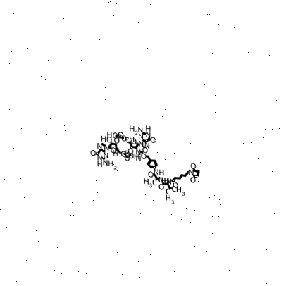 CC(C)C(NC(=O)CCCCCN1C(=O)C=CC1=O)C(=O)N[C@@H](C)C(=O)Nc1ccc(COC(=O)NC2C3OP(=O)(O)OC[C@H]4O[C@@H](n5cnc6c(=O)[nH]c(N)nc65)C(O)C4OP(=O)(O)OC[C@H]3O[C@H]2n2cnc3c(=O)[nH]c(N)nc32)cc1